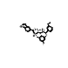 CCc1cccc(CNC[C@@H](O)[C@H](Cc2cc(F)cc(F)c2)NC(=O)c2ccc3[nH]ccc3c2)c1